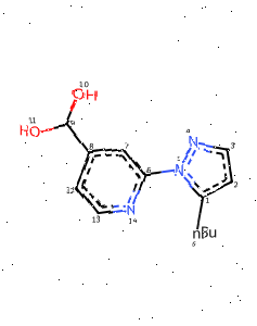 CCCCc1ccnn1-c1cc(C(O)O)ccn1